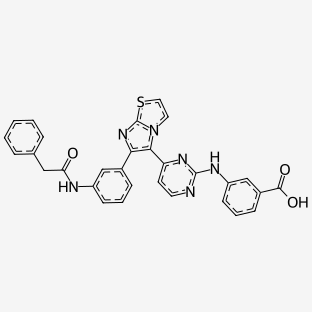 O=C(Cc1ccccc1)Nc1cccc(-c2nc3sccn3c2-c2ccnc(Nc3cccc(C(=O)O)c3)n2)c1